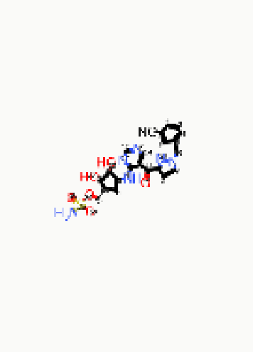 N#Cc1cccc(Cn2ccc(C(=O)c3cncnc3N[C@@H]3C[C@H](COS(N)(=O)=O)[C@@H](O)[C@H]3O)n2)c1